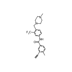 C#Cc1cc(C(=O)Nc2ccc(CN3CCN(C)CC3)c(C(F)(F)F)c2)ccc1C